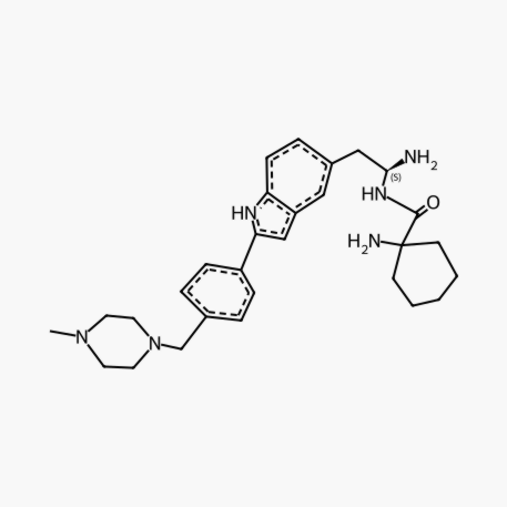 CN1CCN(Cc2ccc(-c3cc4cc(C[C@@H](N)NC(=O)C5(N)CCCCC5)ccc4[nH]3)cc2)CC1